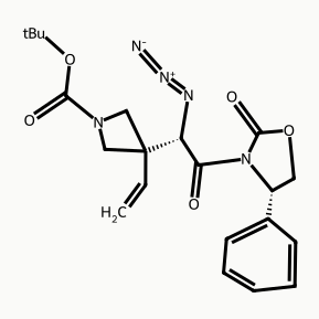 C=CC1([C@H](N=[N+]=[N-])C(=O)N2C(=O)OC[C@@H]2c2ccccc2)CN(C(=O)OC(C)(C)C)C1